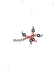 COCCOCCOCC(COCC(COc1ccc(CI)cc1)(COc1ccc(CI)cc1)COc1ccc(CI)cc1)(COc1ccc(CI)cc1)COc1ccc(CI)cc1